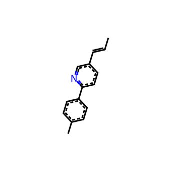 C/C=C/c1ccc(-c2ccc(C)cc2)nc1